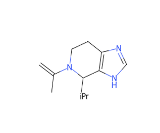 C=C(C)N1CCc2nc[nH]c2C1C(C)C